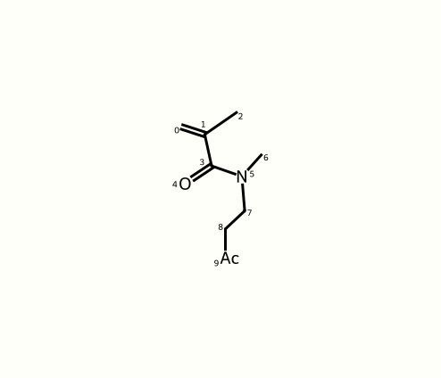 C=C(C)C(=O)N(C)CCC(C)=O